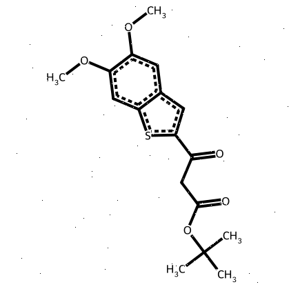 COc1cc2cc(C(=O)CC(=O)OC(C)(C)C)sc2cc1OC